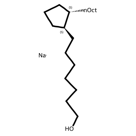 CCCCCCCC[C@H]1CCC[C@@H]1CCCCCCCO.[Na]